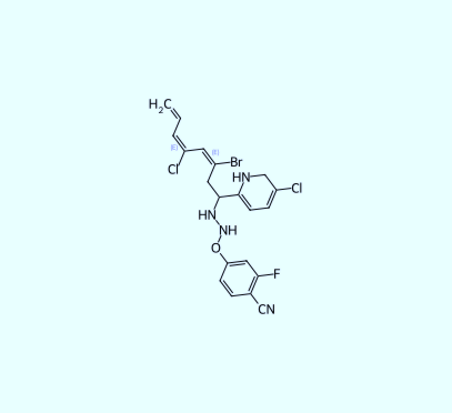 C=C/C=C(Cl)\C=C(\Br)CC(NNOc1ccc(C#N)c(F)c1)C1=CC=C(Cl)CN1